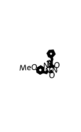 COc1ccc(Cn2c(=O)n(C)c(=O)c3c2ncn3Cc2ccccc2)cc1